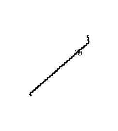 CCCC/C=C\CCCCCCCC(=O)OCCCCCCCCCCCCCCCCCCCCCCCCCCCCCCCCCCCCCCC(C)C